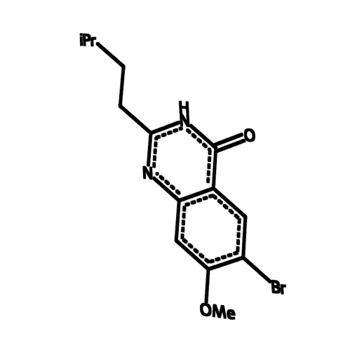 COc1cc2nc(CCC(C)C)[nH]c(=O)c2cc1Br